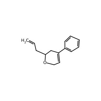 C=CCC1CC(c2ccccc2)=CCO1